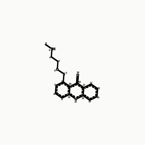 CNCCOSc1cccc2oc3ccccc3c(=O)c12